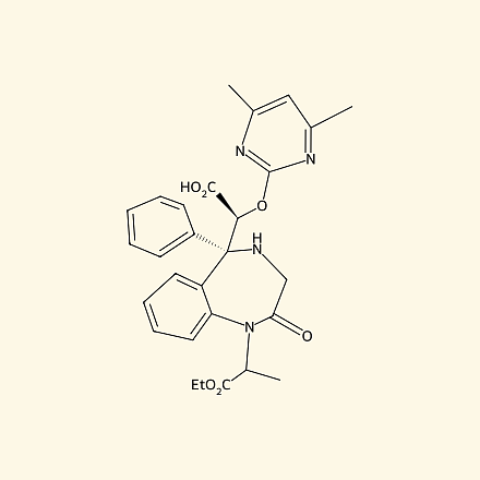 CCOC(=O)C(C)N1C(=O)CN[C@](c2ccccc2)([C@H](Oc2nc(C)cc(C)n2)C(=O)O)c2ccccc21